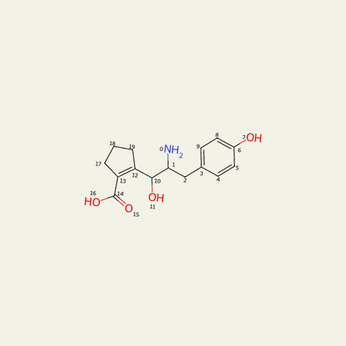 NC(Cc1ccc(O)cc1)C(O)C1=C(C(=O)O)CCC1